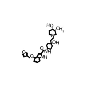 C[C@H]1CN(CCC2(O)CCC(NC(=O)c3cc4c(OCc5ccoc5)cccc4[nH]3)CC2)CC[C@@H]1O